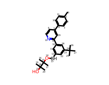 Cc1ccc(-c2ccnc(-c3cc(BOC(C)(C)C(C)(C)O)cc(C(C)(C)C)c3)c2)cc1